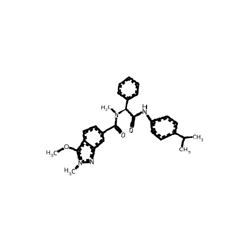 COc1c2ccc(C(=O)N(C)[C@H](C(=O)Nc3ccc(C(C)C)cc3)c3ccccc3)cc2nn1C